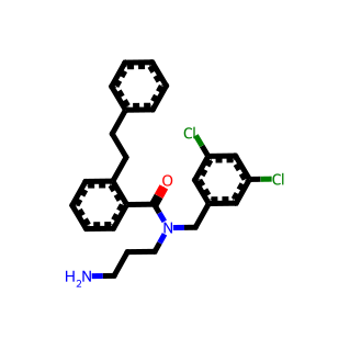 NCCCN(Cc1cc(Cl)cc(Cl)c1)C(=O)c1ccccc1CCc1ccccc1